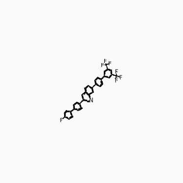 Fc1ccc(-c2ccc(-c3cnc4cc(-c5ccc(-c6cc(C(F)(F)F)cc(C(F)(F)F)c6)cc5)ccc4c3)cc2)cc1